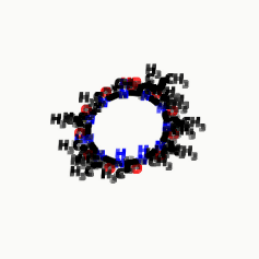 C/C=C/C[C@@H](C)[C@@H](O)[C@H]1C(=O)N[C@@H](CC)C(=O)N(C)CC(=O)N(C)[C@@H](CCC)C(=O)N[C@@H](C(C)C)C(=O)N(C)[C@@H](CC(C)C)C(=O)NC(CC)C(=O)N[C@H](C)C(=O)N(C)[C@@H](CC(C)C)C(=O)N(C)[C@H](CC(C)C)C(=O)N(C)[C@@H](C(C)C)C(=O)N1C